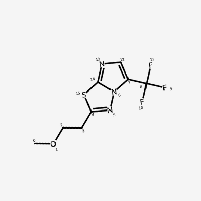 COCCc1nn2c(C(F)(F)F)cnc2s1